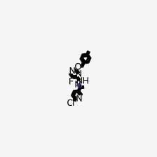 C/C(=N\Nc1nc(OCc2ccc(C)cc2)ncc1F)c1ccc(Cl)nc1